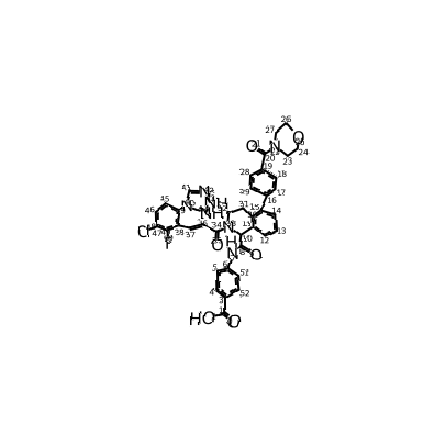 O=C(O)c1ccc(NC(=O)C2c3cccc(-c4ccc(C(=O)N5CCOCC5)cc4)c3CCN2C(=O)/C=C/c2c(N3C=NNN3)ccc(Cl)c2F)cc1